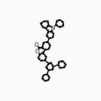 O=c1oc2ccc(-c3cc(-c4ccccc4)cc(-c4ccccc4)c3)cc2c2ccc(-c3ccc4c(c3)c3ccccc3n4-c3ccccc3)cc12